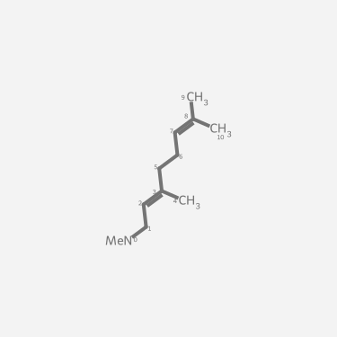 CNC/C=C(\C)CCC=C(C)C